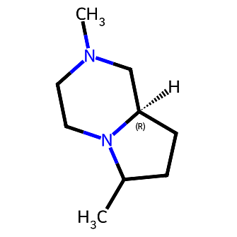 CC1CC[C@@H]2CN(C)CCN12